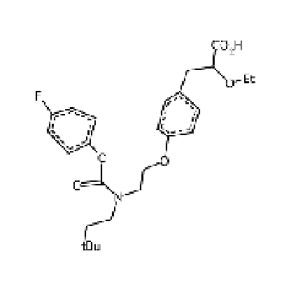 CCOC(Cc1ccc(OCCN(CCC(C)(C)C)C(=O)Oc2ccc(F)cc2)cc1)C(=O)O